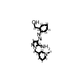 C[n+]1cccc(Cn2ncc(/N=N/c3ccccc3CO)c2N)c1